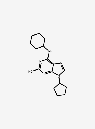 N#Cc1nc(NC2CCCCC2)c2ncn(C3CCCC3)c2n1